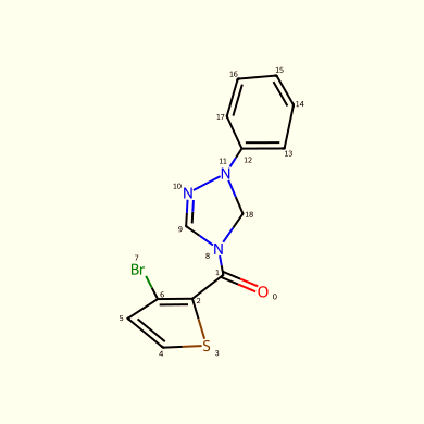 O=C(c1sccc1Br)N1C=NN(c2ccccc2)C1